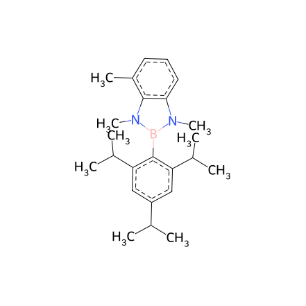 Cc1cccc2c1N(C)B(c1c(C(C)C)cc(C(C)C)cc1C(C)C)N2C